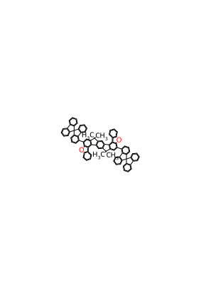 CC1(C)c2cc3c(cc2-c2c1cc(-c1cccc4c1-c1ccccc1C41c4ccccc4-c4ccccc41)c1oc4ccccc4c21)C(C)(C)c1cc(-c2cccc4c2-c2ccccc2C42c4ccccc4-c4ccccc42)c2oc4ccccc4c2c1-3